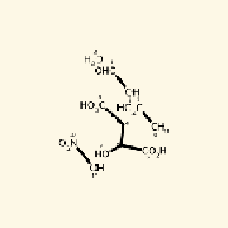 CC(=O)O.O.O=C(O)CC(O)C(=O)O.O=CO.O=[N+]([O-])O